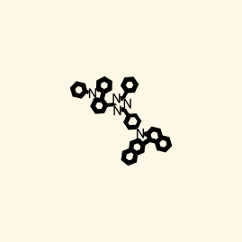 C1=C(c2nc(-c3ccccc3)nc(-c3cccc4c3c3ccccc3n4-c3ccccc3)n2)CCC(n2c3cc4ccccc4cc3c3c4ccccc4ccc32)=C1